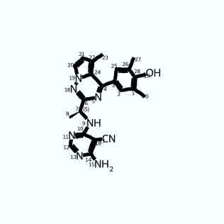 Cc1cc(-c2nc([C@H](C)Nc3ncnc(N)c3C#N)nn3ccc(C)c23)cc(C)c1O